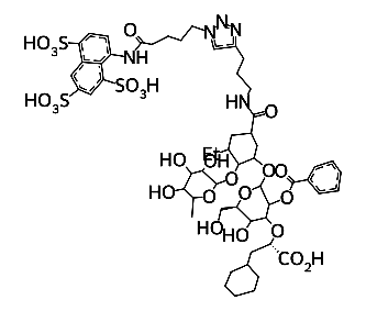 CCC1CC(C(=O)NCCCc2cn(CCCCC(=O)Nc3ccc(S(=O)(=O)O)c4cc(S(=O)(=O)O)cc(S(=O)(=O)O)c34)nn2)CC(OC2O[C@H](CO)C(O)C(O[C@@H](CC3CCCCC3)C(=O)O)C2OC(=O)c2ccccc2)C1OC1OC(C)C(O)C(O)C1O